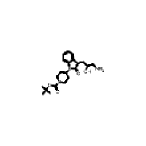 CC(C)(C)OC(=O)N1CCC(N2C(=O)C(CC(O)CN)c3ccccc32)CC1